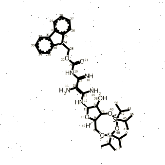 CC(C)[Si]1(C(C)C)OC[C@H]2O[C@@H](N/C(N)=C(\N)C(=N)NC(=O)OCC3c4ccccc4-c4ccccc43)C(O)C2O[Si](C(C)C)(C(C)C)O1